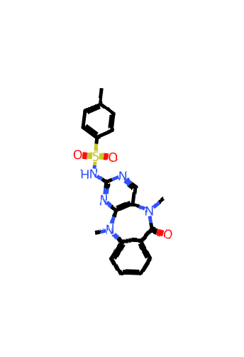 Cc1ccc(S(=O)(=O)Nc2ncc3c(n2)N(C)c2ccccc2C(=O)N3C)cc1